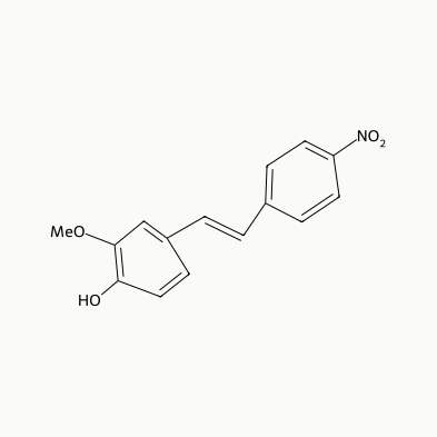 COc1cc(/C=C/c2ccc([N+](=O)[O-])cc2)ccc1O